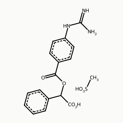 CS(=O)(=O)O.N=C(N)Nc1ccc(C(=O)OC(C(=O)O)c2ccccc2)cc1